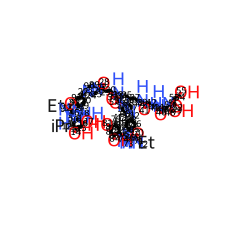 CCNC(=O)C(=N)N(C(=N)c1cc(C(C)C)c(O)cc1O)c1ccc(CN2CCN(C(=O)CCC(=O)N[C@@H](CCCCNC(=O)CCNC(=O)[C@@H](CO)NC(=O)CCO)C(=O)N3CCN(Cc4ccc(-n5c(C(=O)NCC)nnc5-c5cc(C(C)C)c(O)cc5O)cc4)CC3)CC2)cc1